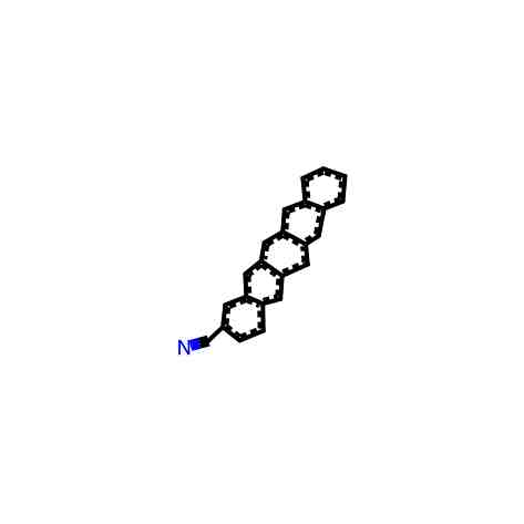 N#Cc1ccc2cc3cc4cc5ccccc5cc4cc3cc2c1